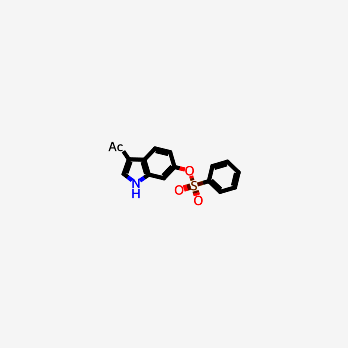 CC(=O)c1c[nH]c2cc(OS(=O)(=O)c3ccccc3)ccc12